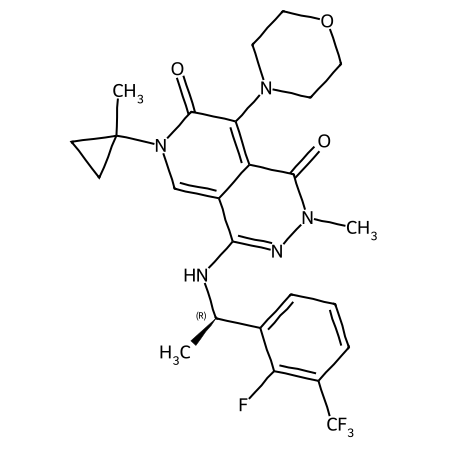 C[C@@H](Nc1nn(C)c(=O)c2c(N3CCOCC3)c(=O)n(C3(C)CC3)cc12)c1cccc(C(F)(F)F)c1F